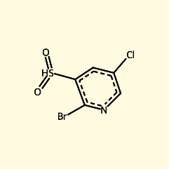 O=[SH](=O)c1cc(Cl)cnc1Br